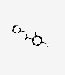 O=C(Nc1nccs1)c1ccc([N+](=O)[O-])cc1F